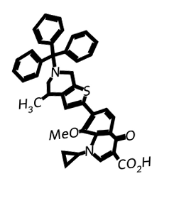 COc1c(-c2cc3c(s2)CN(C(c2ccccc2)(c2ccccc2)c2ccccc2)CC3C)ccc2c(=O)c(C(=O)O)cn(C3CC3)c12